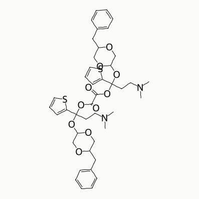 CN(C)CCC(OC(=O)C(=O)OC(CCN(C)C)(OC1COC(Cc2ccccc2)CO1)c1cccs1)(OC1COC(Cc2ccccc2)CO1)c1cccs1